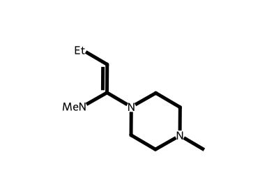 CC/C=C(\NC)N1CCN(C)CC1